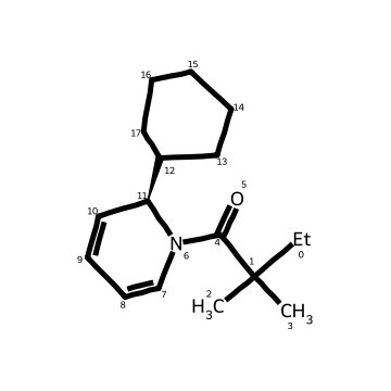 CCC(C)(C)C(=O)N1C=CC=C[C@H]1C1CCCCC1